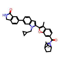 Cc1c(-c2cc3ccc(-c4ccc5c(c4)C(=O)NC5)cc3n2CC2CC2)oc2cc(C(=O)N3CC4CCC3[C@@H]4C)ccc12